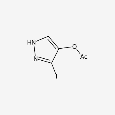 CC(=O)Oc1c[nH]nc1I